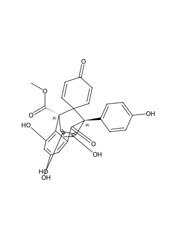 COC(=O)[C@]12c3cc(O)cc(O)c3[C@](c3ccc(O)cc3)(C(=O)c3cc(O)cc(O)c31)C21C=CC(=O)C=C1